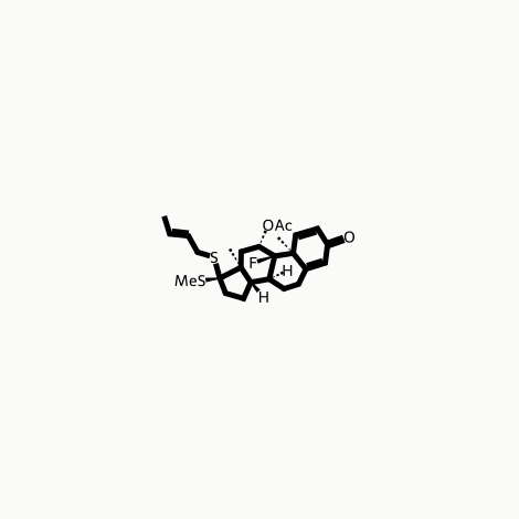 C/C=C/CS[C@@]1(SC)CC[C@H]2[C@@H]3CCC4=CC(=O)C=C[C@]4(C)[C@@]3(F)[C@@H](OC(C)=O)C[C@@]21C